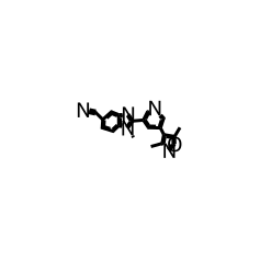 Cc1noc(C)c1-c1cncc(-c2nc3cc(C#N)ccc3n2C)c1